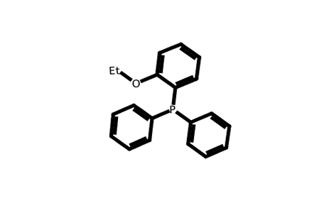 CCOc1ccccc1P(c1ccccc1)c1ccccc1